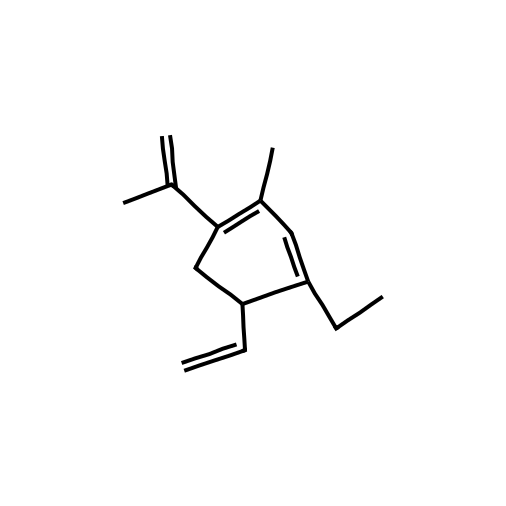 C=CC1CC(C(=C)C)=C(C)C=C1CC